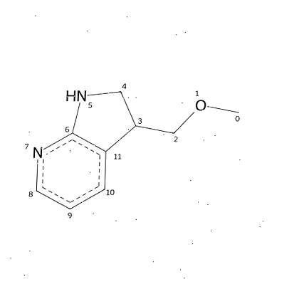 COCC1CNc2ncccc21